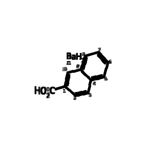 O=C(O)c1ccc2ccccc2c1.[BaH2]